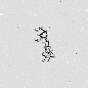 COc1cc(N)ccc1N1CC[C@@H](O[Si](C(C)C)(C(C)C)C(C)C)C1